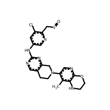 Cc1c(N2CCc3cnc(Nc4cnc(C[S+]=O)c(Cl)c4)nc3C2)cnc2c1NCCO2